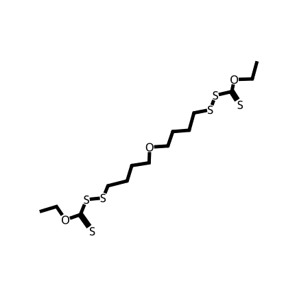 CCOC(=S)SSCCCCOCCCCSSC(=S)OCC